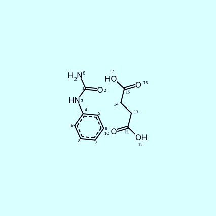 NC(=O)Nc1ccccc1.O=C(O)CCC(=O)O